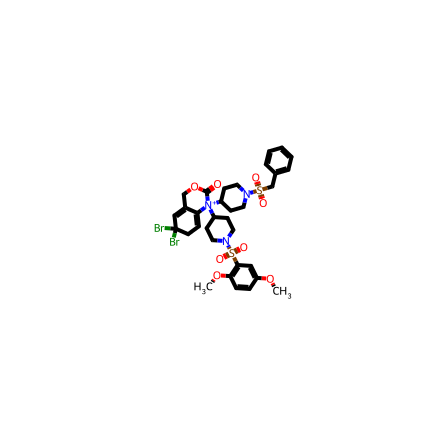 COc1ccc(OC)c(S(=O)(=O)N2CCC([N+]3(C4CCN(S(=O)(=O)Cc5ccccc5)CC4)C(=O)OCC4=CC(Br)(Br)CC=C43)CC2)c1